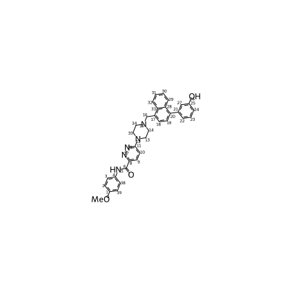 COc1ccc(NC(=O)c2ccc(N3CCN(Cc4ccc(-c5cccc(O)c5)c5ccccc45)CC3)nn2)cc1